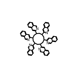 c1ccc2cc(C3CC(c4cc5ccccc5cn4)CC(c4cc5ccccc5cn4)CC(c4cc5ccccc5cn4)CC(c4cc5ccccc5cn4)CC(c4cc5ccccc5cn4)C3)ncc2c1